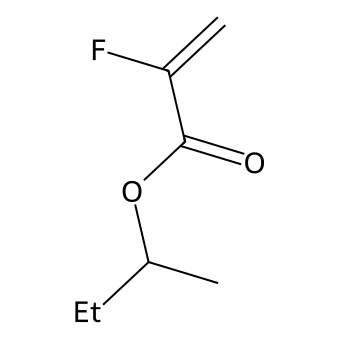 C=C(F)C(=O)OC(C)CC